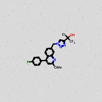 CCC(O)(c1cn(Cc2ccc3c(-c4ccc(F)cc4)cc(OC)nc3c2)nn1)C(F)(F)F